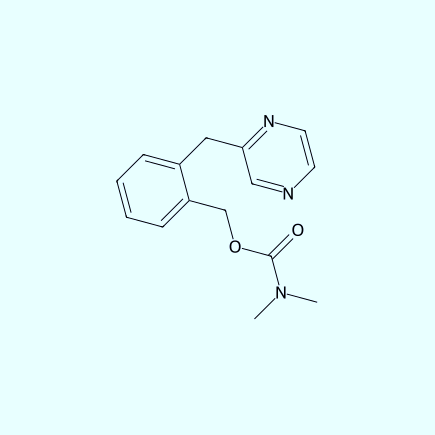 CN(C)C(=O)OCc1ccccc1Cc1cnccn1